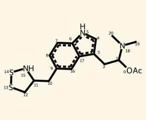 CC(=O)OC(Cc1c[nH]c2ccc(CC3CSSN3)cc12)N(C)C